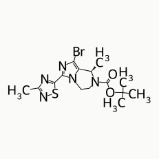 Cc1nsc(-c2nc(Br)c3n2CCN(C(=O)OC(C)(C)C)[C@@H]3C)n1